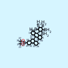 Bc1c(B)c(B)c(-c2c3ccccc3c(-c3cc4cc(B5OC(C)(C)C(C)(C)O5)ccc4c4ccccc34)c3ccccc23)c(B)c1B